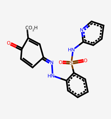 O=C(O)C1=CC(=NNc2ccccc2S(=O)(=O)Nc2ccccn2)C=CC1=O